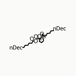 CCCCCCCCCCCCCCCC(=O)OC(=O)C1(O)CCCN1C(=O)CCCCCCCCCCCCCCC